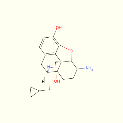 NC1CC[C@@]2(O)[C@H]3Cc4ccc(O)c5c4[C@@]2(CCN3CC2CC2)C1O5